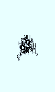 COCCn1nc(N(C)C)c2cc(Nc3nc(N[C@H](C4CC4)[C@H](C)N)c(F)cc3C(N)=O)ccc21